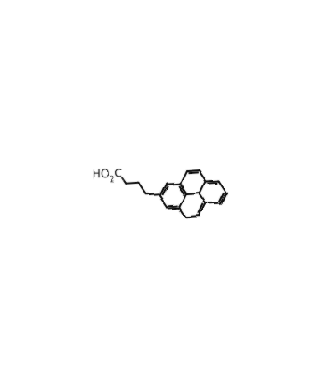 O=C(O)CCCc1cc2c3c(c1)CC=C1C=CC=C(C=C2)C13